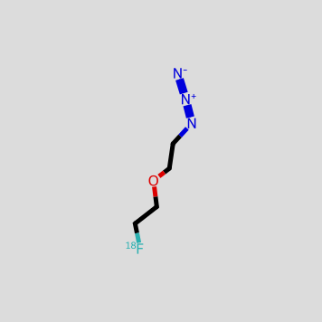 [N-]=[N+]=NCCOCC[18F]